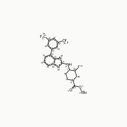 CC(C)(C)OC(=O)N1CCC(Nc2nc3c(-c4cc(C(F)(F)F)cc(C(F)(F)F)c4)cccn3n2)C(F)C1